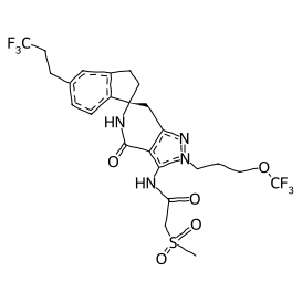 CS(=O)(=O)CC(=O)Nc1c2c(nn1CCCOC(F)(F)F)C[C@@]1(CCc3cc(CCC(F)(F)F)ccc31)NC2=O